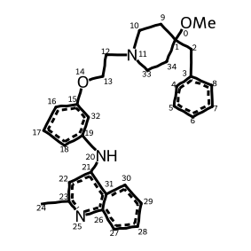 COC1(Cc2ccccc2)CCN(CCOc2cccc(Nc3cc(C)nc4ccccc34)c2)CC1